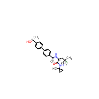 C[C@@H](O)c1ccc(-c2ccc([C@H](N[C@@H](CC(C)(C)F)C(=O)NC3(C#N)CC3)C(F)(F)F)cc2)cc1